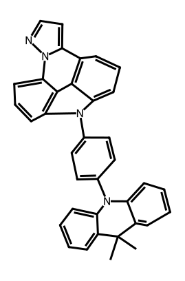 CC1(C)c2ccccc2N(c2ccc(-n3c4cccc5c4c4c3cccc4n3nccc53)cc2)c2ccccc21